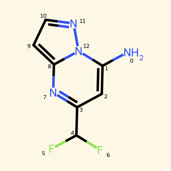 Nc1cc(C(F)F)nc2ccnn12